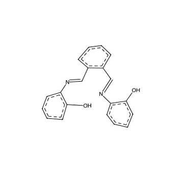 Oc1ccccc1/N=C/c1ccccc1/C=N/c1ccccc1O